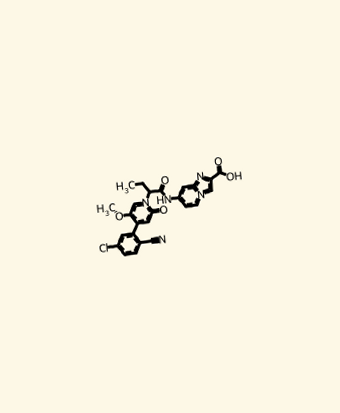 CCC(C(=O)Nc1ccn2cc(C(=O)O)nc2c1)n1cc(OC)c(-c2cc(Cl)ccc2C#N)cc1=O